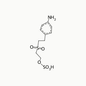 Nc1ccc(CCS(=O)(=O)CCOS(=O)(=O)O)cc1